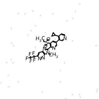 CCS(=O)(=O)c1cc(-c2cnccc2C2CC2)cnc1-c1nc2cc(C(F)(F)C(F)(F)F)nnc2n1C